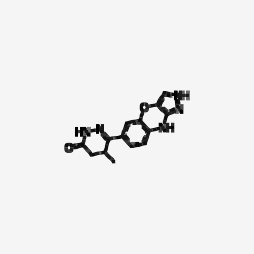 CC1CC(=O)NN=C1c1ccc2c(c1)Oc1c[nH]nc1N2